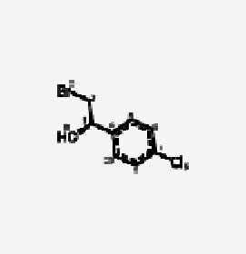 O[C@@H](CBr)c1ccc(Cl)cc1